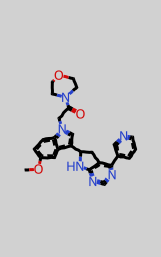 COc1ccc2c(c1)c(C1Cc3c(ncnc3-c3cccnc3)N1)cn2CC(=O)N1CCOCC1